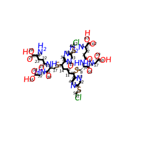 N[C@H](CCC(=O)N[C@@H](CSC(CC(=O)CC(SC[C@H](NC(=O)CC[C@H](N)C(=O)O)C(=O)NCC(=O)O)c1cnc(SCCl)cn1)c1cnc(SCCl)cn1)C(=O)NCC(=O)O)C(=O)O